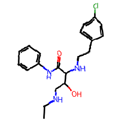 CCNCC(O)C(NCCc1ccc(Cl)cc1)C(=O)Nc1ccccc1